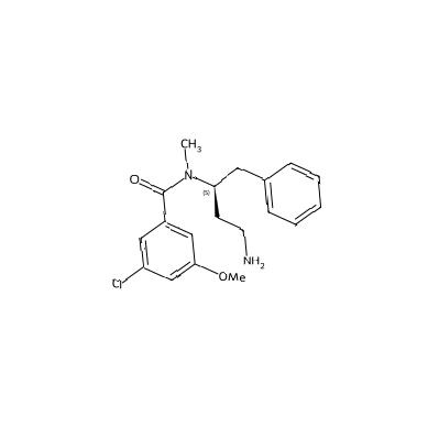 COc1cc(Cl)cc(C(=O)N(C)[C@H](CCN)Cc2ccccc2)c1